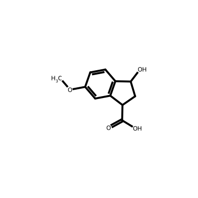 COc1ccc2c(c1)C(C(=O)O)CC2O